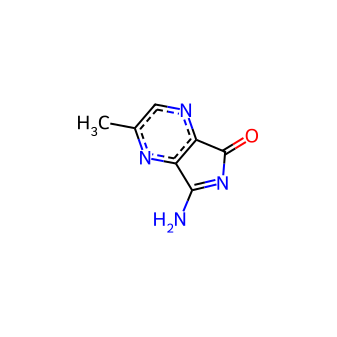 Cc1cnc2c(n1)C(N)=NC2=O